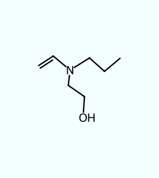 C=CN(CCC)CCO